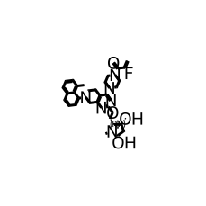 C=C(F)C(=O)N1CCN(c2nc(OC[C@@H]3[C@H](O)CC(O)N3C)nc3c2CCN(c2cccc4cccc(C)c24)C3)CC1